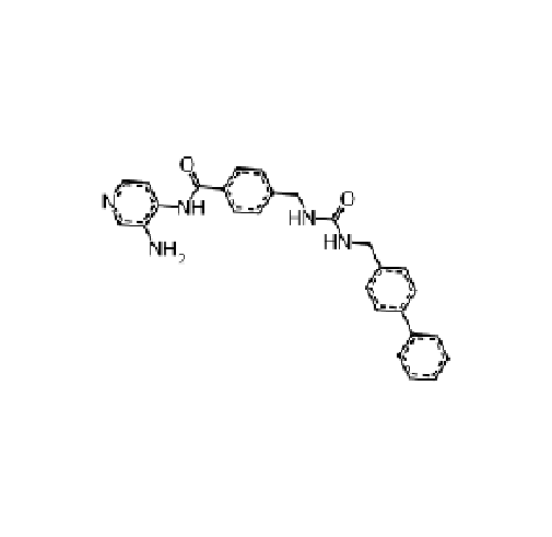 Nc1cnccc1NC(=O)c1ccc(CNC(=O)NCc2ccc(-c3ccccc3)cc2)cc1